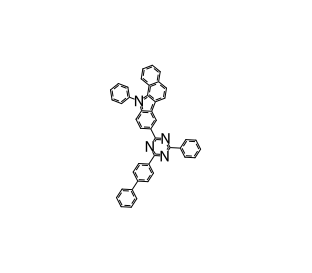 c1ccc(-c2ccc(-c3nc(-c4ccccc4)nc(-c4ccc5c(c4)c4ccc6ccccc6c4n5-c4ccccc4)n3)cc2)cc1